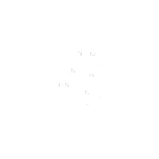 Cc1nc2cnc(C3(C(N)=O)CCN(C(=O)OC(C)(C)C)CC3)c(Br)c2c(=O)[nH]1